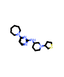 c1cc(N2CCCCCC2)nc(NC2CCCN(C3CCSC3)C2)n1